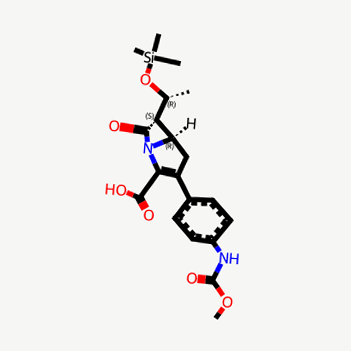 COC(=O)Nc1ccc(C2=C(C(=O)O)N3C(=O)[C@H]([C@@H](C)O[Si](C)(C)C)[C@H]3C2)cc1